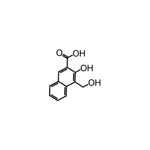 O=C(O)c1cc2ccccc2c(CO)c1O